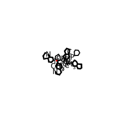 Cc1cc2cccnc2cc1N(C)c1cc2ncccc2cc1[PH](C)(c1cc2ccccc2cc1N(C)c1cc2ccccc2cc1PC1CCCCC1)C1CCCCC1